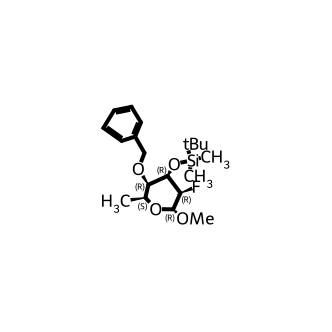 CO[C@@H]1O[C@@H](C)[C@@H](OCc2ccccc2)[C@@H](O[Si](C)(C)C(C)(C)C)[C@H]1F